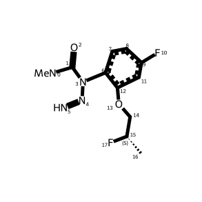 CNC(=O)N(N=N)c1ccc(F)cc1OC[C@H](C)F